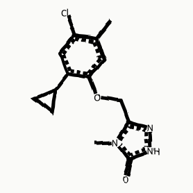 Cc1cc(OCc2n[nH]c(=O)n2C)c(C2CC2)cc1Cl